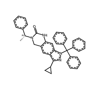 C[C@H](c1ccccc1)N1Cc2cc3c(C4CC4)nn(C(c4ccccc4)(c4ccccc4)c4ccccc4)c3cc2NC1=O